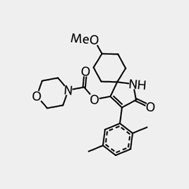 COC1CCC2(CC1)NC(=O)C(c1cc(C)ccc1C)=C2OC(=O)N1CCOCC1